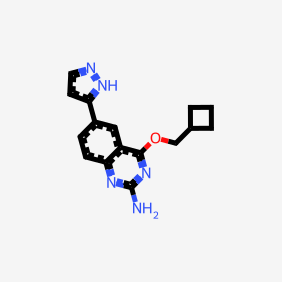 Nc1nc(OCC2CCC2)c2cc(-c3ccn[nH]3)ccc2n1